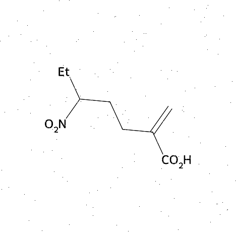 C=C(CCC(CC)[N+](=O)[O-])C(=O)O